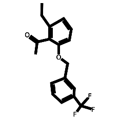 CCc1cccc(OCc2cccc(C(F)(F)F)c2)c1C(C)=O